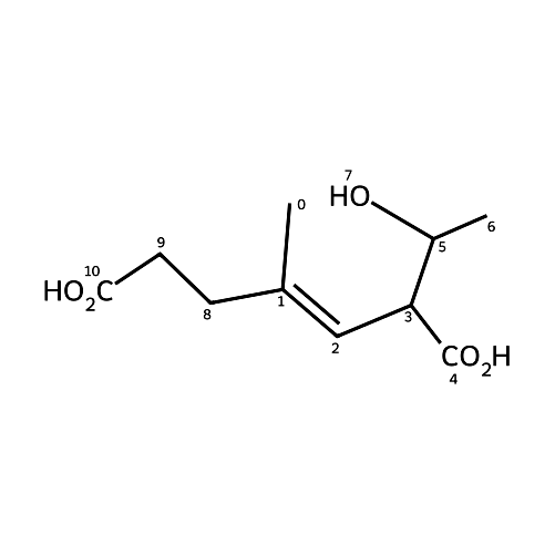 C/C(=C\C(C(=O)O)C(C)O)CCC(=O)O